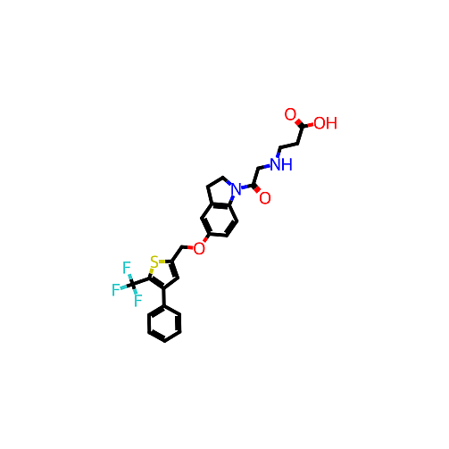 O=C(O)CCNCC(=O)N1CCc2cc(OCc3cc(-c4ccccc4)c(C(F)(F)F)s3)ccc21